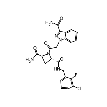 NC(=O)c1nn(CC(=O)N2[C@H](C(N)=O)C[C@H]2C(=O)NCc2cccc(Cl)c2F)c2ccccc12